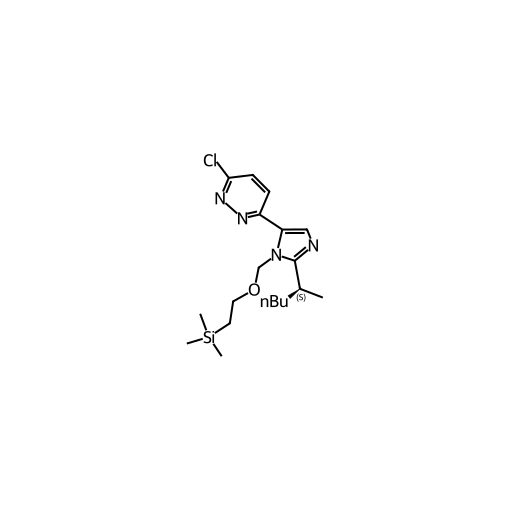 CCCC[C@H](C)c1ncc(-c2ccc(Cl)nn2)n1COCC[Si](C)(C)C